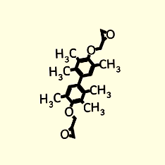 Cc1cc(-c2cc(C)c(OCC3CO3)c(C)c2C)c(C)c(C)c1OCC1CO1